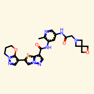 Cc1ncc(NC(=O)CN2CC3(COC3)C2)cc1NC(=O)c1cnn2cc(-c3cnn4c3OCCC4)sc12